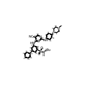 CN1CCN(c2ccc(Nc3ncc(C#N)c(Nc4cc(-c5ccccc5)cc(S(=O)(=O)NC(C)(C)C)c4)n3)cc2)CC1